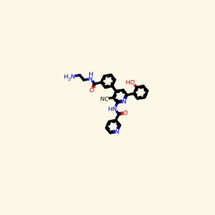 N#Cc1c(-c2cccc(C(=O)NCCN)c2)cc(-c2ccccc2O)nc1NC(=O)c1cccnc1